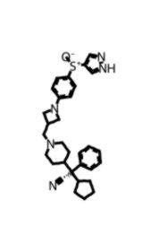 N#C[C@](c1ccccc1)(C1CCCC1)C1CCN(CC2CN(c3ccc([S+]([O-])c4cn[nH]c4)cc3)C2)CC1